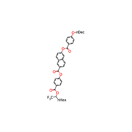 CCCCCCCCCCOc1ccc(C(=O)Oc2ccc3cc(C(=O)Oc4ccc(C(=O)OC(CCCCCC)C(F)(F)F)cc4)ccc3c2)cc1